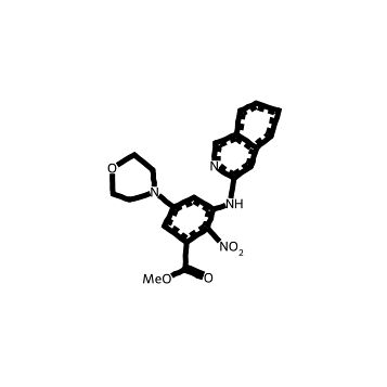 COC(=O)c1cc(N2CCOCC2)cc(Nc2cc3ccccc3cn2)c1[N+](=O)[O-]